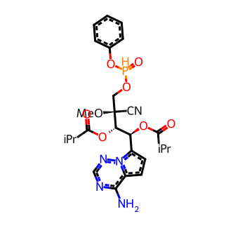 CO[C@](C#N)(CO[PH](=O)Oc1ccccc1)[C@@H](OC(=O)C(C)C)[C@@H](OC(=O)C(C)C)c1ccc2c(N)ncnn12